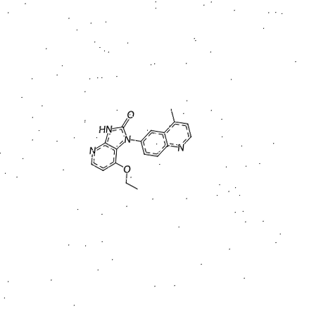 CCOc1ccnc2[nH]c(=O)n(-c3ccc4nccc(C)c4c3)c12